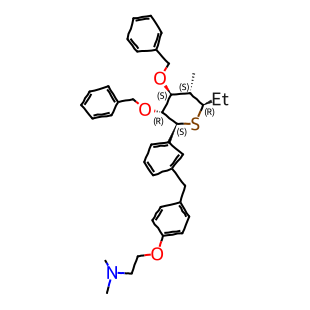 CC[C@H]1S[C@@H](c2cccc(Cc3ccc(OCCN(C)C)cc3)c2)[C@H](OCc2ccccc2)[C@@H](OCc2ccccc2)[C@@H]1C